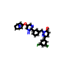 CN1C2CCC1CC(OC1=CNC(c3cccc(Cn4nc(-c5cc(F)cc(F)c5)ccc4=O)c3)N=C1)C2